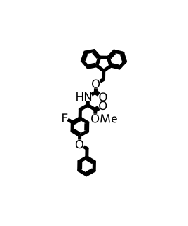 COC(=O)C(Cc1ccc(OCc2ccccc2)cc1F)NC(=O)OCC1c2ccccc2-c2ccccc21